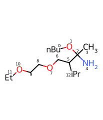 CCCCOC(C)(N)C(COCCOCC)C(C)C